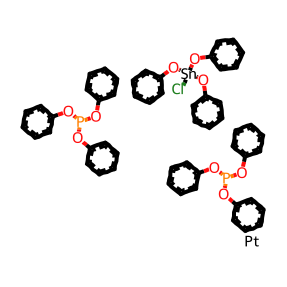 [Cl][Sn]([O]c1ccccc1)([O]c1ccccc1)[O]c1ccccc1.[Pt].c1ccc(OP(Oc2ccccc2)Oc2ccccc2)cc1.c1ccc(OP(Oc2ccccc2)Oc2ccccc2)cc1